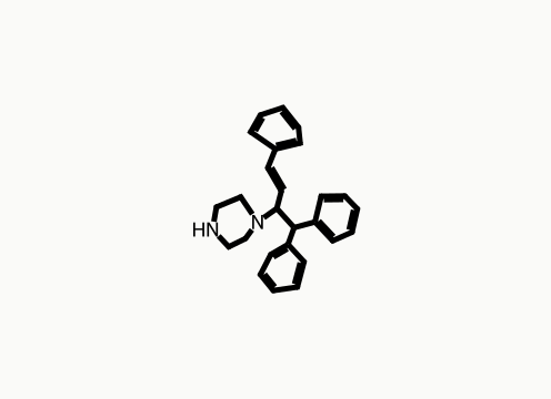 C(=CC(C(c1ccccc1)c1ccccc1)N1CCNCC1)c1ccccc1